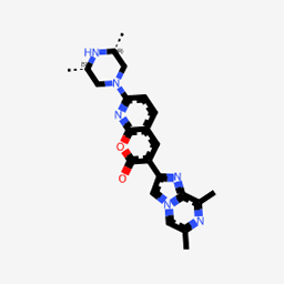 Cc1cn2cc(-c3cc4ccc(N5C[C@@H](C)N[C@@H](C)C5)nc4oc3=O)nc2c(C)n1